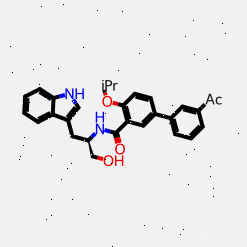 CC(=O)c1cccc(-c2ccc(OC(C)C)c(C(=O)N[C@@H](CO)Cc3c[nH]c4ccccc34)c2)c1